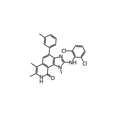 Cc1cccc(-c2cc3c(C)c(C)[nH]c(=O)c3c3c2nc(Nc2c(Cl)cccc2Cl)n3C)c1